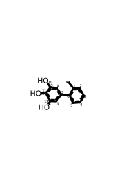 Cc1ccccc1-c1cc(O)c(O)c(O)c1